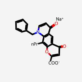 CCCc1c2oc(C(=O)[O-])cc(=O)c2cc2c(=O)ccn(Cc3ccccc3)c12.[Na+]